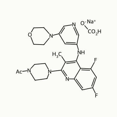 CC(=O)N1CCN(c2nc3cc(F)cc(F)c3c(Nc3cncc(N4CCOCC4)c3)c2C)CC1.O=C([O-])O.[Na+]